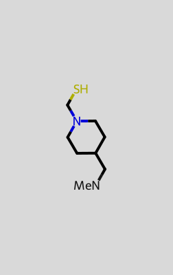 CNCC1CCN(CS)CC1